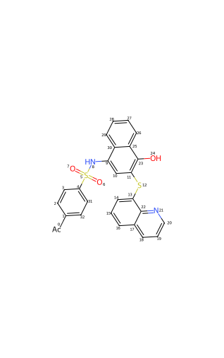 CC(=O)c1ccc(S(=O)(=O)Nc2cc(Sc3cccc4cccnc34)c(O)c3ccccc23)cc1